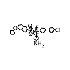 N[C@H]1CCN(C(=O)[C@@H](NS(=O)(=O)c2ccc3cc(OC4CCCC4)ccc3c2)C(F)(F)c2ccc(-c3ccc(Cl)cc3)cc2)C1